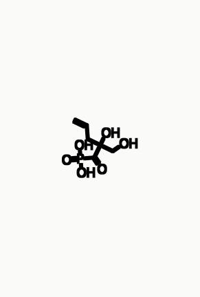 C=CCC(O)(CO)C(=O)P(=O)(O)O